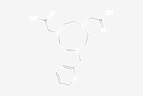 O=C(O)CN1CCN(CC(=O)O)CCN(Cc2ccccn2)CC1